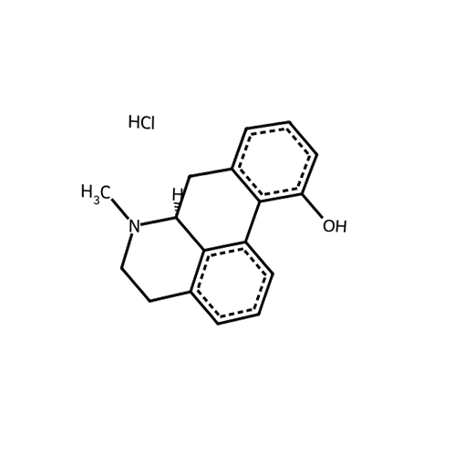 CN1CCc2cccc3c2[C@@H]1Cc1cccc(O)c1-3.Cl